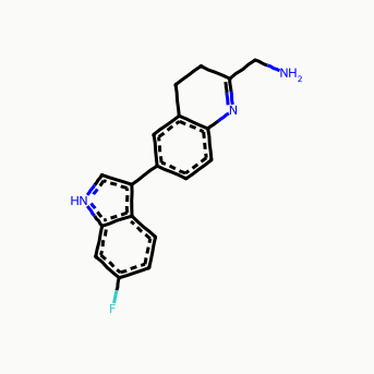 NCC1=Nc2ccc(-c3c[nH]c4cc(F)ccc34)cc2CC1